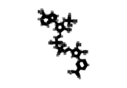 NC(=O)C1=CN([C@@H]2O[C@@H](COP(=O)(O)OP(=O)(O)OC[C@@H]3O[C@@H](n4cnc5c(N)ncnc54)[C@H](OP(=O)(O)O)[C@H]3O)[C@H](O)[C@H]2O)C=CC1